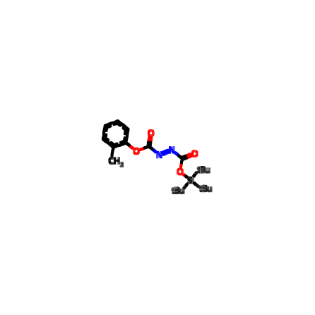 Cc1ccccc1OC(=O)N=NC(=O)O[Si](C(C)(C)C)(C(C)(C)C)C(C)(C)C